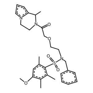 COc1cc(C)c(S(=O)(=O)N(CCOCC(=O)N2CCn3cccc3C2C)Cc2ccccc2)c(C)c1C